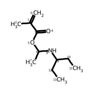 C=C(C)C(=O)OC(C)NC(CC)CC